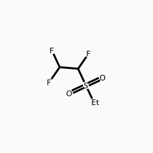 CCS(=O)(=O)C(F)C(F)F